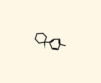 Cc1ccc(C2(I)CCCCC2)cc1